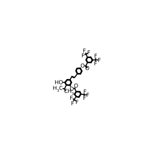 CC(C)c1c(O)cc(/C=C/c2ccc(OC(=O)c3cc(C(F)(F)F)cc(C(F)(F)F)c3)cc2)cc1OC(=O)c1cc(C(F)(F)F)cc(C(F)(F)F)c1